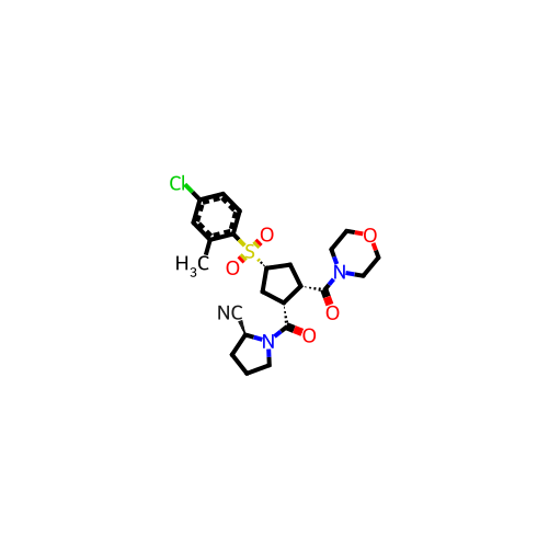 Cc1cc(Cl)ccc1S(=O)(=O)[C@@H]1C[C@H](C(=O)N2CCOCC2)[C@H](C(=O)N2CCC[C@H]2C#N)C1